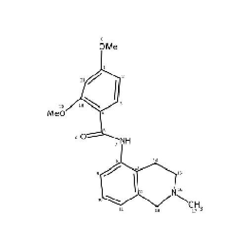 COc1ccc(C(=O)Nc2cccc3c2CCN(C)C3)c(OC)c1